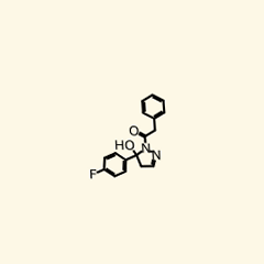 O=C(Cc1ccccc1)N1N=CCC1(O)c1ccc(F)cc1